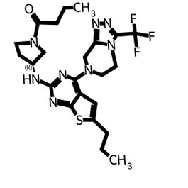 CCCC(=O)N1CC[C@@H](Nc2nc(N3CCn4c(nnc4C(F)(F)F)C3)c3cc(CCC)sc3n2)C1